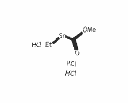 C[CH2][Sn][C](=O)OC.Cl.Cl.Cl